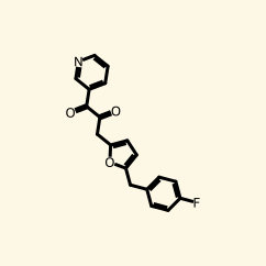 O=C(Cc1ccc(Cc2ccc(F)cc2)o1)C(=O)c1cccnc1